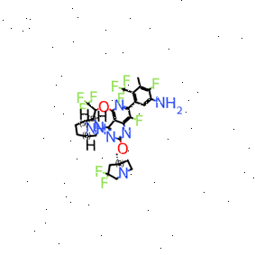 Cc1c(F)c(N)cc(-c2nc3c4c(nc(OC[C@]56CCN5CC(F)(F)C6)nc4c2F)N2C[C@H]4CC[C@H](N4)[C@H]2C(C(F)(F)F)O3)c1C(F)(F)F